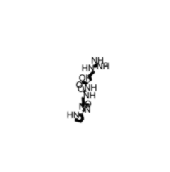 N=C(N)NCCC[C@H](NC(=O)NCc1nc([C@@H]2CCCN2)no1)C(=O)O